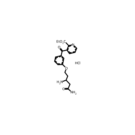 CCOC(=O)c1ncccc1C(=O)c1cccc(OCCC(N)CC(N)=O)c1.Cl